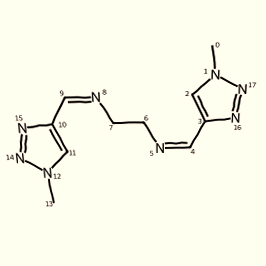 Cn1cc(/C=N\CC/N=C\c2cn(C)nn2)nn1